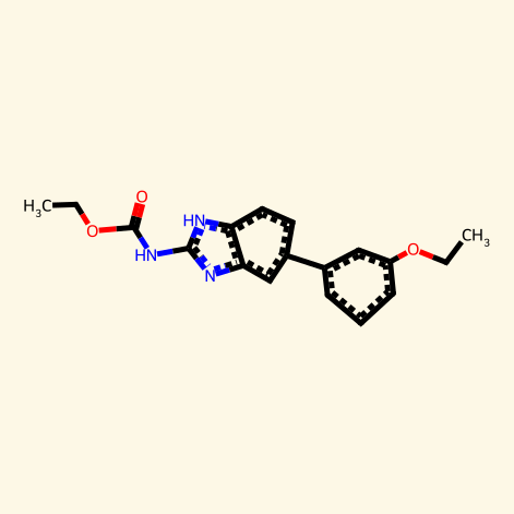 CCOC(=O)Nc1nc2cc(-c3cccc(OCC)c3)ccc2[nH]1